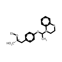 CCO[C@H](Cc1ccc(OC(C)N2CCSc3ccccc32)cc1)C(=O)O